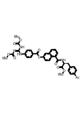 CC(=O)c1ccc(C[C@H](NC(=O)c2cccc3cc(OC(=O)c4ccc(N/C(=N\C(=O)OC(C)(C)C)NC(=O)OC(C)(C)C)cc4)ccc23)C(=O)OC(C)(C)C)cc1